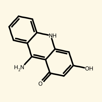 Nc1c2c(=O)cc(O)cc-2[nH]c2ccccc12